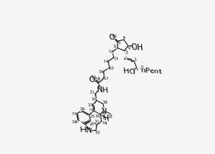 CCCCC[C@H](O)C=C[C@H]1[C@H](O)CC(=O)[C@@H]1CCCCCCC(=O)NC[C@@H]1C=C2c3cccc4c3C(CN4)C[C@H]2N(C)C1